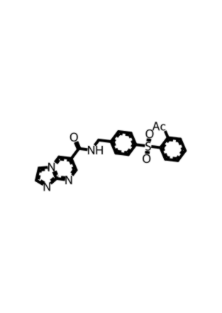 CC(=O)c1ccccc1S(=O)(=O)c1ccc(CNC(=O)c2cnc3nccn3c2)cc1